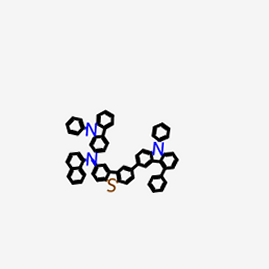 c1ccc(-c2cccc3c2c2cc(-c4ccc5sc6ccc(N(c7ccc8c9ccccc9n(-c9ccccc9)c8c7)c7cccc8ccccc78)cc6c5c4)ccc2n3-c2ccccc2)cc1